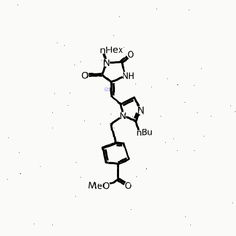 CCCCCCN1C(=O)N/C(=C\c2cnc(CCCC)n2Cc2ccc(C(=O)OC)cc2)C1=O